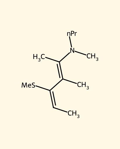 C/C=C(SC)\C(C)=C(/C)N(C)CCC